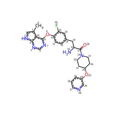 Cc1c[nH]c2ncnc(Oc3ccc(CC(N)C(=O)N4CCC(Oc5cccnc5)CC4)cc3F)c12